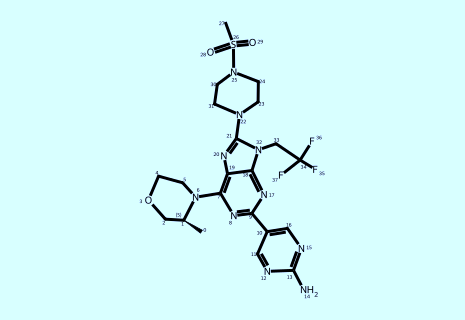 C[C@H]1COCCN1c1nc(-c2cnc(N)nc2)nc2c1nc(N1CCN(S(C)(=O)=O)CC1)n2CC(F)(F)F